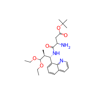 CCOC(OCC)[C@@H](C)[C@H](NC(=O)C(N)CC(=O)OC(C)(C)C)c1cccc2cccnc12